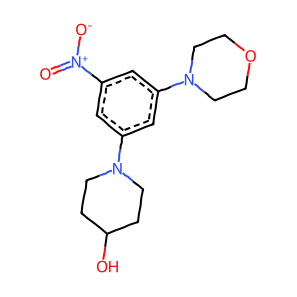 O=[N+]([O-])c1cc(N2CCOCC2)cc(N2CCC(O)CC2)c1